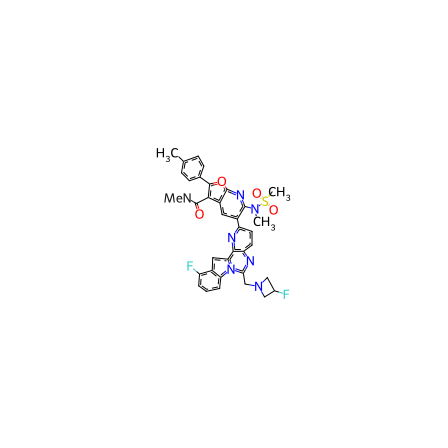 CNC(=O)c1c(-c2ccc(C)cc2)oc2nc(N(C)S(C)(=O)=O)c(-c3ccc4nc(CN5CC(F)C5)n5c6cccc(F)c6cc5c4n3)cc12